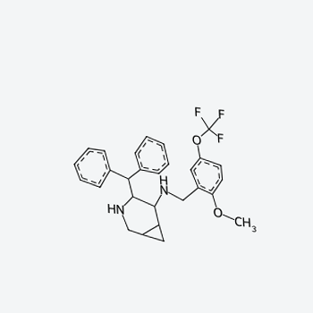 COc1ccc(OC(F)(F)F)cc1CNC1C2CC2CNC1C(c1ccccc1)c1ccccc1